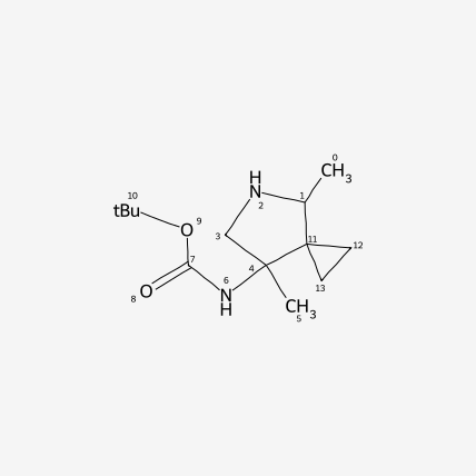 CC1NCC(C)(NC(=O)OC(C)(C)C)C12CC2